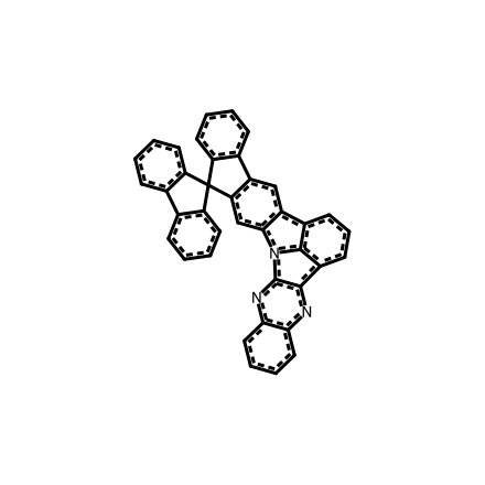 c1ccc2c(c1)-c1ccccc1C21c2ccccc2-c2cc3c4cccc5c6nc7ccccc7nc6n(c3cc21)c45